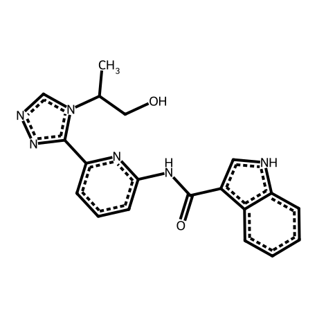 CC(CO)n1cnnc1-c1cccc(NC(=O)c2c[nH]c3ccccc23)n1